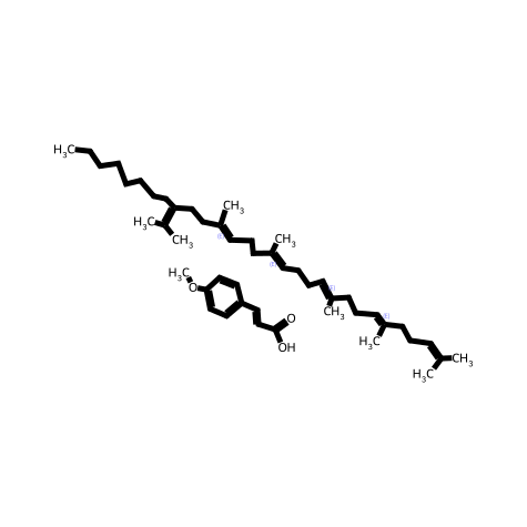 CCCCCCCCC(CC/C(C)=C/CC/C(C)=C/CC/C=C(\C)CC/C=C(\C)CCC=C(C)C)=C(C)C.COc1ccc(C=CC(=O)O)cc1